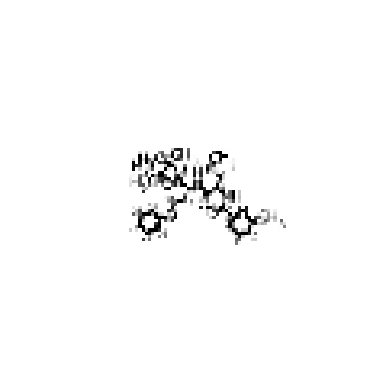 COCC(NC(=O)c1cccc(C)n1)C(=O)NC(CCOc1ccccc1)B1OC(C)(C)C(C)(C)O1